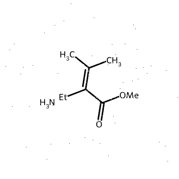 CCC(C(=O)OC)=C(C)C.N